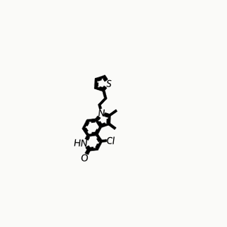 Cc1c(C)n(CCc2cccs2)c2ccc3[nH]c(=O)cc(Cl)c3c12